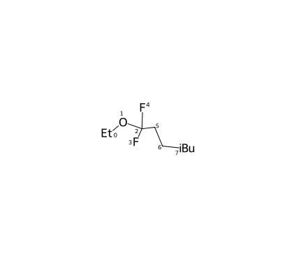 CCOC(F)(F)CCC(C)CC